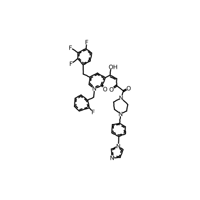 O=C(/C=C(/O)c1cc(Cc2ccc(F)c(F)c2F)cn(Cc2ccccc2F)c1=O)C(=O)N1CCN(c2ccc(-n3ccnc3)cc2)CC1